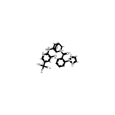 O=C(c1ccccc1-n1nccn1)N1CC2CCC1C(Nc1ncc(C(F)(F)F)cc1Cl)C2